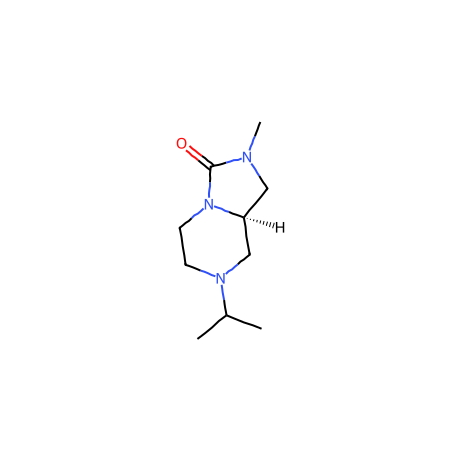 CC(C)N1CCN2C(=O)N(C)C[C@H]2C1